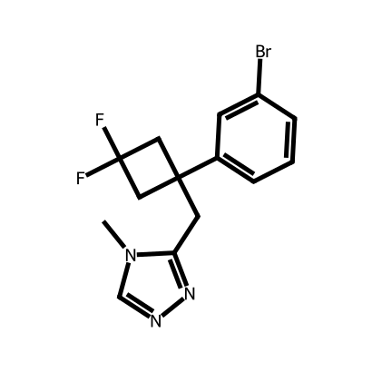 Cn1cnnc1CC1(c2cccc(Br)c2)CC(F)(F)C1